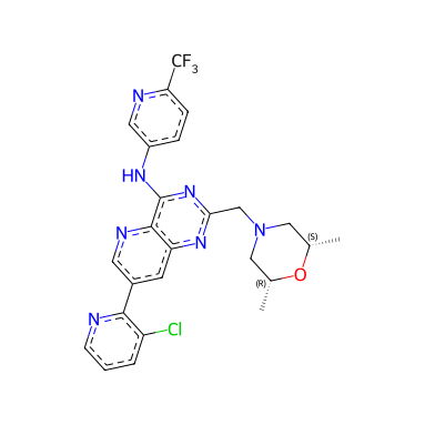 C[C@@H]1CN(Cc2nc(Nc3ccc(C(F)(F)F)nc3)c3ncc(-c4ncccc4Cl)cc3n2)C[C@H](C)O1